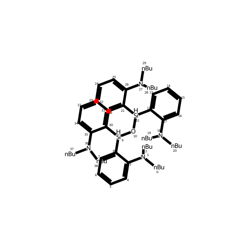 CCCCN(CCCC)c1ccccc1[SiH](O[SiH](c1ccccc1N(CCCC)CCCC)c1ccccc1N(CCCC)CCCC)c1ccccc1N(CCCC)CCCC